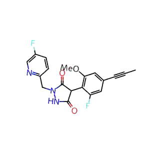 CC#Cc1cc(F)c(C2C(=O)NN(Cc3ccc(F)cn3)C2=O)c(OC)c1